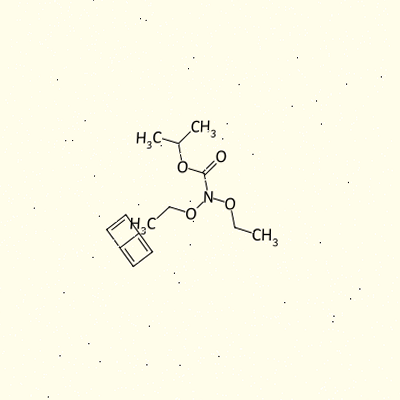 CCON(OCC)C(=O)OC(C)C.c1cc2ccc1-2